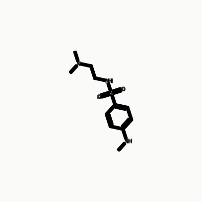 CNc1ccc(S(=O)(=O)NCCN(C)C)cc1